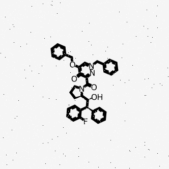 O=C(c1nn(Cc2ccccc2)cc(OCc2ccccc2)c1=O)N1CCC[C@@H]1[C@H](O)[C@@H](c1ccccc1)c1ccccc1F